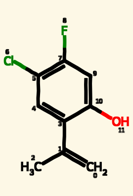 C=C(C)c1cc(Cl)c(F)cc1O